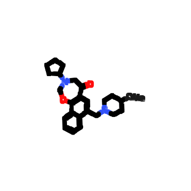 COC1CCN(Cc2cc3c(c4ccccc24)OCN(C2CCCC2)CC3=O)CC1